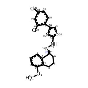 COc1cccc2c1CCC/C2=N\Nc1nc(-c2ccc(Cl)cc2Cl)cs1